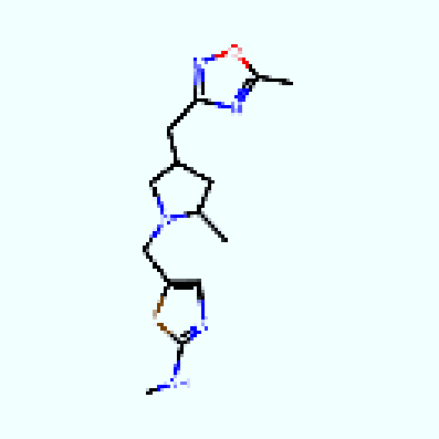 CNc1ncc(CN2CC(Cc3noc(C)n3)CC2C)s1